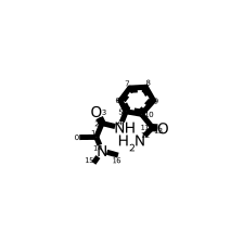 CC(C(=O)Nc1ccccc1C(N)=O)N(C)C